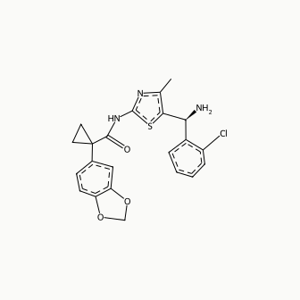 Cc1nc(NC(=O)C2(c3ccc4c(c3)OCO4)CC2)sc1[C@@H](N)c1ccccc1Cl